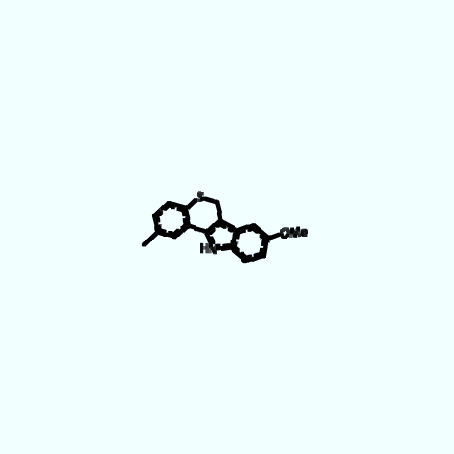 COc1ccc2[nH]c3c(c2c1)CSc1ccc(C)cc1-3